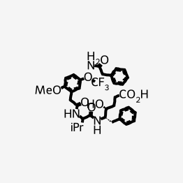 COc1ccc(OC(F)(F)F)cc1CC(=O)NC(C(=O)N[C@@H](Cc1ccccc1)[C@@H](O)CCC(=O)O)C(C)C.NC(=O)Cc1ccccc1